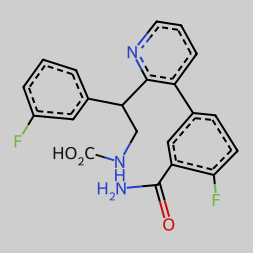 NC(=O)c1cc(-c2cccnc2C(CNC(=O)O)c2cccc(F)c2)ccc1F